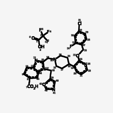 O=C(O)C(F)(F)F.O=C(O)c1ccc2nc(CN3CCC(c4cccnc4OCc4ccc(Cl)cc4F)CC3)n(Cc3cnco3)c2c1